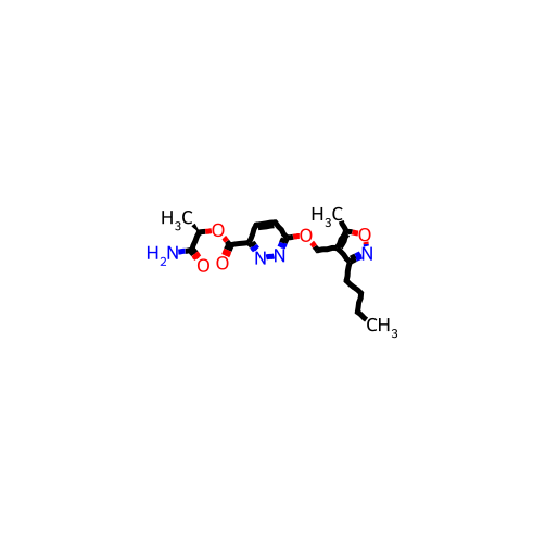 CCCCc1noc(C)c1COc1ccc(C(=O)O[C@H](C)C(N)=O)nn1